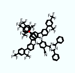 N#Cc1cc(-n2c3ccc(-c4ccc(C(F)(F)F)cc4C(F)(F)F)cc3c3cc(-c4ccc(C(F)(F)F)cc4C(F)(F)F)ccc32)c(-n2c3ccc(-c4ccc(C(F)(F)F)cc4C(F)(F)F)cc3c3cc(-c4ccc(C(F)(F)F)cc4C(F)(F)F)ccc32)cc1-c1nc(-c2ccccc2)nc(-c2ccccc2)n1